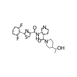 CC(O)C1CCN(C(=O)c2ccncc2NC(=O)c2csc(-c3c(F)cccc3F)n2)CC1